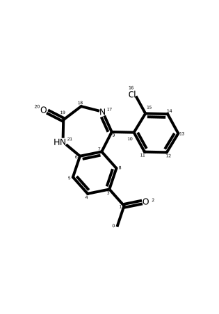 CC(=O)c1ccc2c(c1)C(c1ccccc1Cl)=NCC(=O)N2